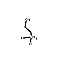 OC[CH2][SbH]([Cl])([Cl])[Cl]